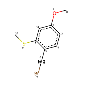 COc1cc[c]([Mg][Br])c(SC)c1